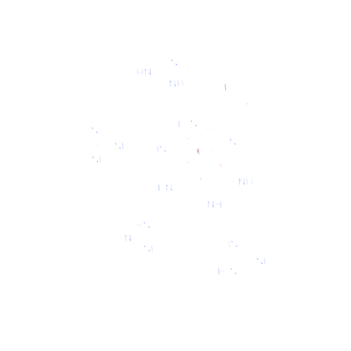 COCCN(CC(=O)NC(CCCNC(=N)N)C(=O)NC(CCCNC(=N)N)C(=O)NC(CCCNC(=N)N)C(=O)NC(CCCNC(=N)N)C(N)=O)C(C)=O